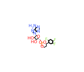 Nc1ncnc2c1ncn2[C@@H]1O[C@H](COP2OCCC(c3cc(F)c(F)cc3F)O2)[C@@H](O)[C@H]1O